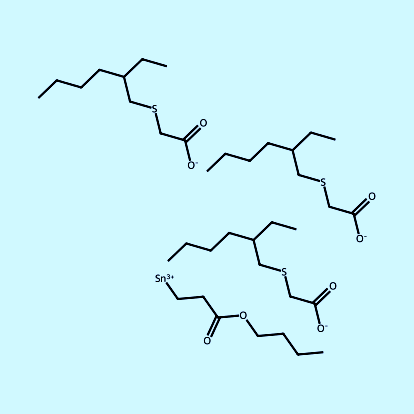 CCCCC(CC)CSCC(=O)[O-].CCCCC(CC)CSCC(=O)[O-].CCCCC(CC)CSCC(=O)[O-].CCCCOC(=O)C[CH2][Sn+3]